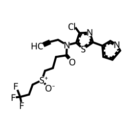 C#CCN(C(=O)CCC[S+]([O-])CCC(F)(F)F)c1sc(-c2cccnc2)nc1Cl